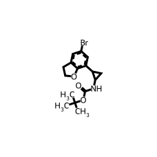 CC(C)(C)OC(=O)NC1CC1c1cc(Br)cc2c1OCC2